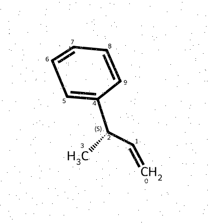 C=C[C@H](C)c1cc[c]cc1